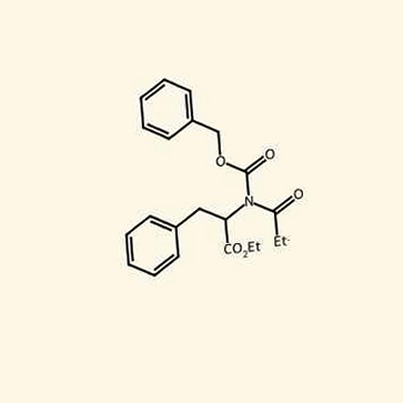 C[CH]C(=O)N(C(=O)OCc1ccccc1)C(Cc1ccccc1)C(=O)OCC